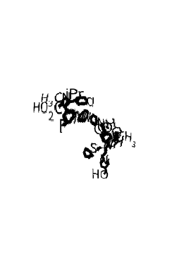 Cc1c(C(=O)O)c(-c2cc(F)cc(N3CCN(c4ccc(NS(=O)(=O)c5ccc(N[C@@H](CCSc6ccccc6)CCN6CCC(CO)CC6)c(S(C)(=O)=O)c5)cc4)CC3)c2)c(-c2ccc(Cl)cc2)n1C(C)C